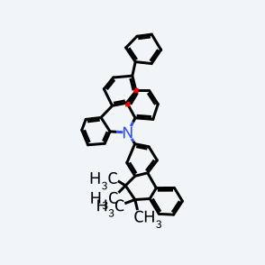 CC1(C)c2ccccc2-c2ccc(N(c3ccccc3)c3ccccc3-c3ccc(-c4ccccc4)cc3)cc2C1(C)C